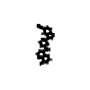 N#Cc1ccc2ncc(-c3nccc(NC4CCOc5c(F)cccc54)n3)n2c1